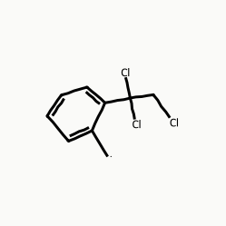 [CH2]c1ccccc1C(Cl)(Cl)CCl